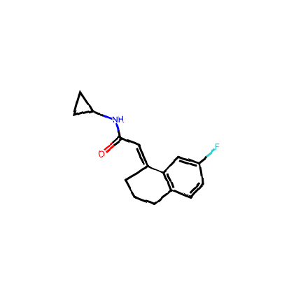 O=C(/C=C1\CCCc2ccc(F)cc21)NC1CC1